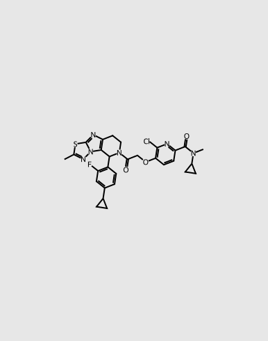 Cc1nn2c3c(nc2s1)CCN(C(=O)COc1ccc(C(=O)N(C)C2CC2)nc1Cl)C3c1ccc(C2CC2)cc1F